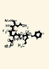 C=CCCC(OCc1ccccc1)(c1nnc(-c2nc(C(=N)/C(=C\NC)CC=C)c(C(F)(F)F)cc2NC(=O)OC(C)(C)C)o1)C(F)(F)F